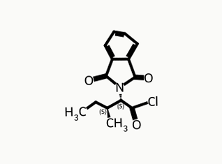 CC[C@H](C)[C@@H](C(=O)Cl)N1C(=O)c2ccccc2C1=O